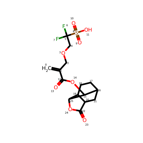 C=C(COCC(F)(F)S(=O)(=O)O)C(=O)OC1C2CCC3C(C2)C(=O)OC31